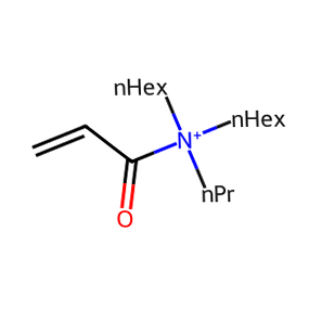 C=CC(=O)[N+](CCC)(CCCCCC)CCCCCC